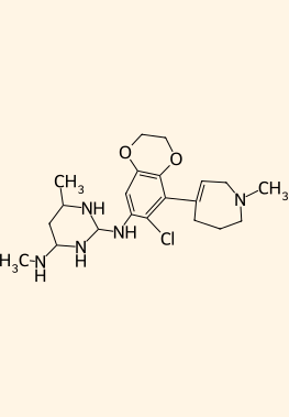 CNC1CC(C)NC(Nc2cc3c(c(C4=CCN(C)CCC4)c2Cl)OCCO3)N1